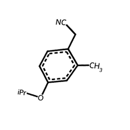 Cc1cc(OC(C)C)ccc1CC#N